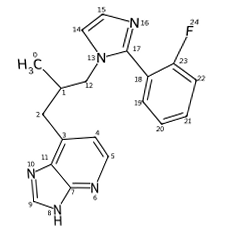 CC(Cc1ccnc2[nH]cnc12)Cn1ccnc1-c1ccccc1F